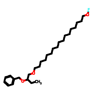 CCC(COCCCCCCCCCCCCCCCCCOF)OCc1ccccc1